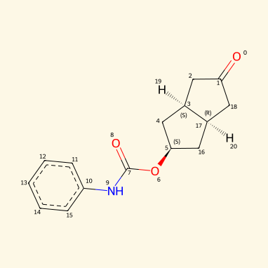 O=C1C[C@@H]2C[C@H](OC(=O)Nc3ccccc3)C[C@@H]2C1